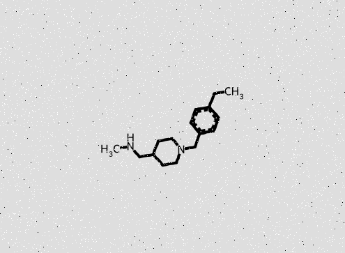 CCc1ccc(CN2CCC(CNC)CC2)cc1